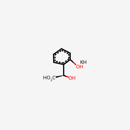 O=C(O)[C@H](O)c1ccccc1O.[KH]